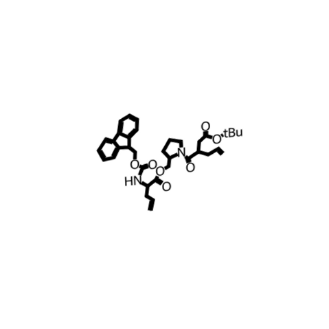 C=CCC(CC(=O)OC(C)(C)C)C(=O)N1CCCC1COC(=O)C(CC=C)NC(=O)OCC1c2ccccc2-c2ccccc21